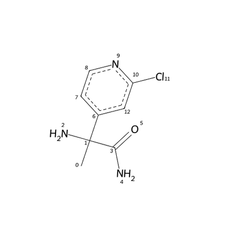 CC(N)(C(N)=O)c1ccnc(Cl)c1